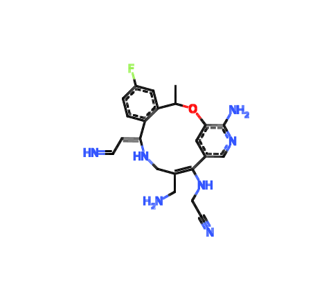 CC1Oc2cc(cnc2N)/C(NCC#N)=C(/CN)CN/C(=C\C=N)c2ccc(F)cc21